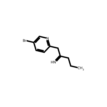 CCCC(=N)Cc1ccc(Br)cn1